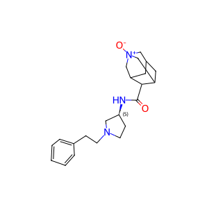 O=C(N[C@H]1CCN(CCc2ccccc2)C1)C1C2CC3CC1C[N+]([O-])(C3)C2